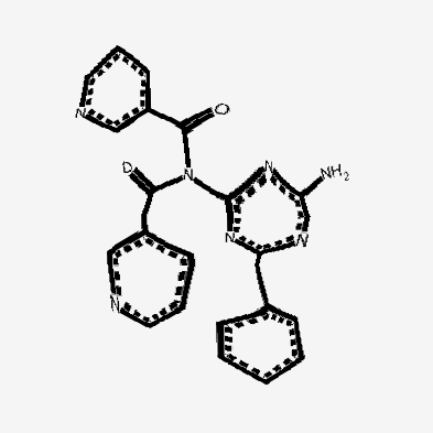 Nc1nc(-c2ccccc2)nc(N(C(=O)c2cccnc2)C(=O)c2cccnc2)n1